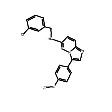 FC(F)(F)Oc1ccc(-c2cnc3ccc(NCc4cccc(Cl)c4)nn23)cc1